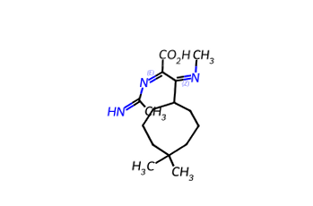 C/N=C(\C(=N/C(C)=N)C(=O)O)C1CCCC(C)(C)CCC1